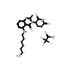 Cc1nc2cccc(NCCCCCCN)c2c(=O)n1C1CCC(=O)NC1=O.O=C(O)C(F)(F)F